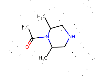 CC1CNCC(C)N1C(=O)C(F)(F)F